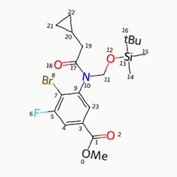 COC(=O)c1cc(F)c(Br)c(N(CO[Si](C)(C)C(C)(C)C)C(=O)CC2CC2)c1